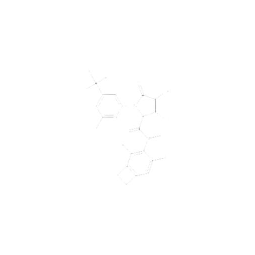 Cc1cc(C(F)(F)F)cc(N2C(=O)C(O)C(O)C2C(=O)N(C)c2c(F)cc3c(c2Cl)CC3)n1